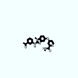 CNC(=O)c1cc(Oc2ccc3c(c2)nc(Nc2cccc(C(C)=O)c2)n3C)ccn1